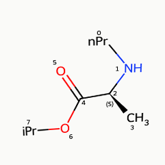 CCCN[C@@H](C)C(=O)OC(C)C